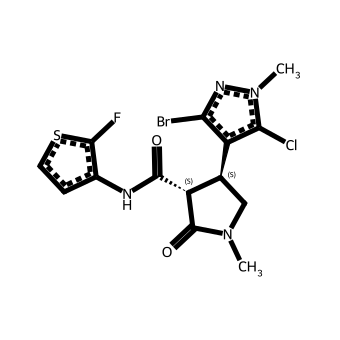 CN1C[C@H](c2c(Br)nn(C)c2Cl)[C@@H](C(=O)Nc2ccsc2F)C1=O